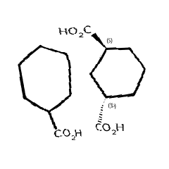 O=C(O)C1CCCCC1.O=C(O)[C@H]1CCC[C@H](C(=O)O)C1